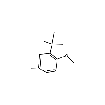 COc1ccc(C)cc1C(C)(C)C